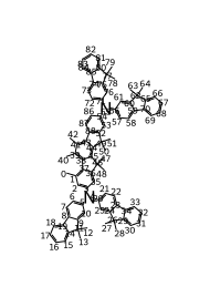 Cc1cc(N(c2ccc3c(c2)C(C)(C)c2ccccc2-3)c2ccc3c(c2)C(C)(C)c2ccccc2-3)cc2c1-c1c(C)c(C)c3c(c1C2(C)C)C(C)(C)c1cc(N(c2ccc4c(c2)C(C)(C)c2ccccc2-4)c2ccc4c(c2)C(C)(C)c2ccccc2-4)ccc1-3